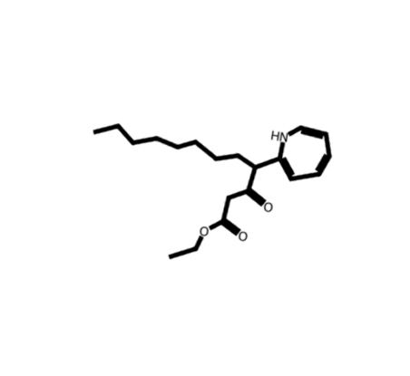 CCCCCCCCC(C(=O)CC(=O)OCC)C1=CC=CC=CN1